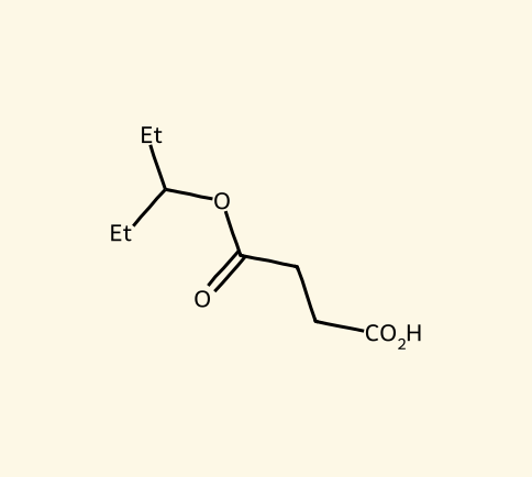 CCC(CC)OC(=O)CCC(=O)O